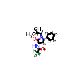 CC(C)CN1C(=O)[C@@H](NC(=O)C(F)(F)F)C[C@H]1c1ccccc1